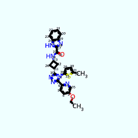 CCOc1ccc(-c2nnc([C@H]3C[C@H](NC(=O)c4nc5ccccc5[nH]4)C3)n2-c2ccc(C)s2)nc1